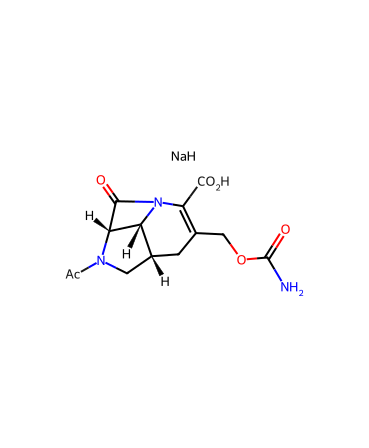 CC(=O)N1C[C@H]2CC(COC(N)=O)=C(C(=O)O)N3C(=O)[C@@H]1[C@@H]23.[NaH]